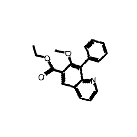 CCOC(=O)c1cc2cccnc2c(-c2ccccc2)c1OC